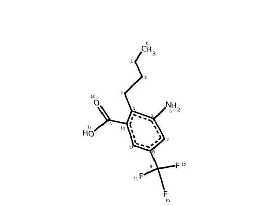 CCCCc1c(N)cc(C(F)(F)F)cc1C(=O)O